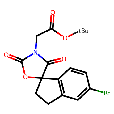 CC(C)(C)OC(=O)CN1C(=O)OC2(CCc3cc(Br)ccc32)C1=O